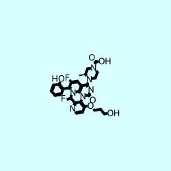 CC(C)c1nccc(OCCCO)c1-n1c(=O)nc(N2CCN(C(=O)O)C[C@@H]2C)c2cc(F)c(-c3c(O)cccc3F)nc21